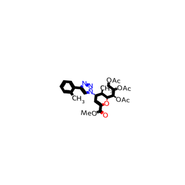 COC(=O)C1=C[C@H](n2cc(-c3ccccc3C)nn2)[C@@H](C)[C@H]([C@H](OC(C)=O)C(COC(C)=O)OC(C)=O)O1